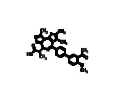 COc1ccc(-c2ccc(C3=N[C@@H](C(C)C(=O)O)c4nnc(C)n4-c4sc(C)c(C)c43)cc2)cc1C(C)=O